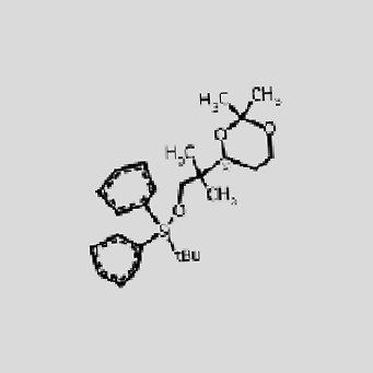 CC1(C)OCC[C@@H](C(C)(C)CO[Si](c2ccccc2)(c2ccccc2)C(C)(C)C)O1